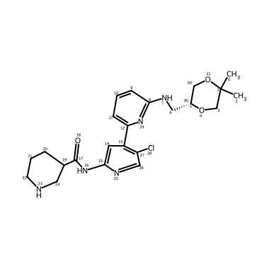 CC1(C)CO[C@H](CNc2cccc(-c3cc(NC(=O)C4CCCNC4)ncc3Cl)n2)CO1